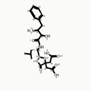 CC(C)C[C@H](NC(=O)C(O)C(N)Cc1ccccc1)B1OC(=O)C(CC(=O)O)(CC(=O)O)O1